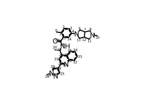 Cc1ccc(N2CC3CN(C)CC3C2)cc1C(=O)N[C@H](C)c1cc(-c2cnn(C)c2)nc2ccccc12